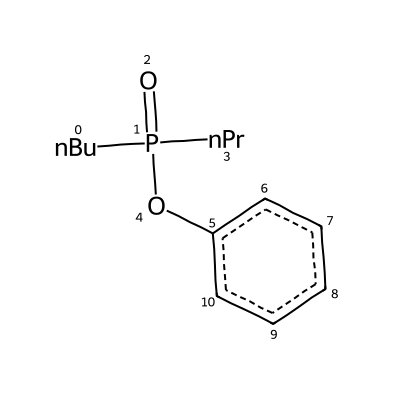 CCCCP(=O)(CCC)Oc1ccccc1